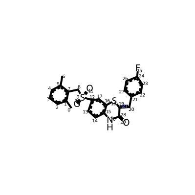 Cc1cccc(C)c1CS(=O)(=O)c1ccc2c(c1)S/C(=C\c1ccc(F)cc1)C(=O)N2